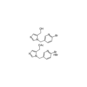 Br.CC(=O)OCc1cncn1Cc1ccc(Br)nc1.OCc1cncn1Cc1ccc(Br)nc1